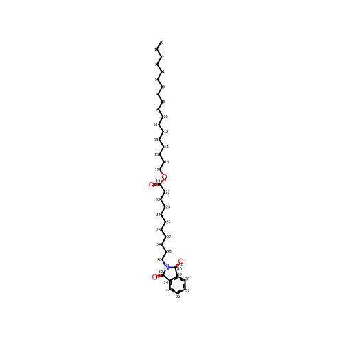 CCCCCCCCCCCCCCCCCCOC(=O)CCCCCCCCCCN1C(=O)c2ccccc2C1=O